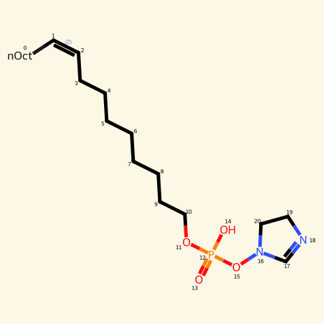 CCCCCCCC/C=C\CCCCCCCCOP(=O)(O)ON1C=NCC1